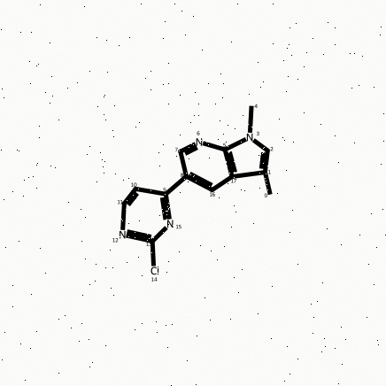 Cc1cn(C)c2ncc(-c3ccnc(Cl)n3)cc12